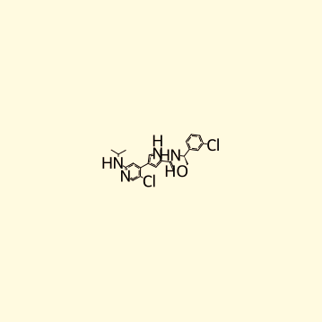 C=C(N[C@H](CO)c1cccc(Cl)c1)c1cc(-c2cc(NC(C)C)ncc2Cl)c[nH]1